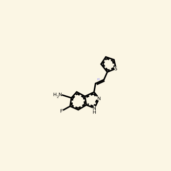 Nc1cc2c(/C=C/c3cccs3)n[nH]c2cc1F